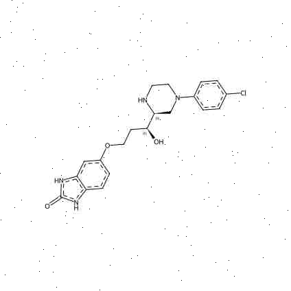 O=c1[nH]c2ccc(OCC[C@H](O)[C@@H]3CN(c4ccc(Cl)cc4)CCN3)cc2[nH]1